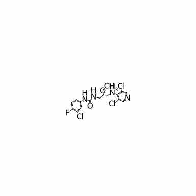 COC(CNC(=O)Nc1ccc(F)c(Cl)c1)CNc1c(Cl)cncc1Cl